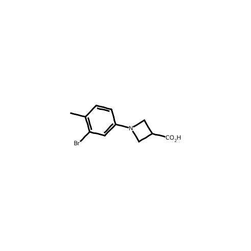 Cc1ccc(N2CC(C(=O)O)C2)cc1Br